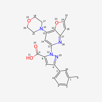 Cc1cccc(-c2cc(C(=O)O)n(-c3cc(N4CCOCC4)c4oc(C)cc4n3)n2)c1